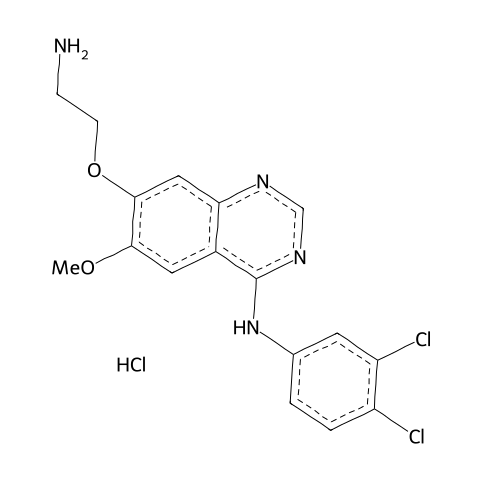 COc1cc2c(Nc3ccc(Cl)c(Cl)c3)ncnc2cc1OCCN.Cl